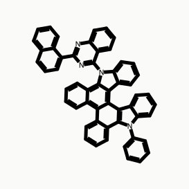 c1ccc(-n2c3ccccc3c3c4c(c5ccccc5c32)c2ccccc2c2c4c3ccccc3n2-c2nc(-c3cccc4ccccc34)nc3ccccc23)cc1